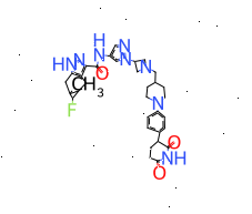 CC12Cc3[nH]nc(C(=O)Nc4cnn(C5CN(CC6CCN(c7ccc(C8CCC(=O)NC8=O)cc7)CC6)C5)c4)c3CC1C2F